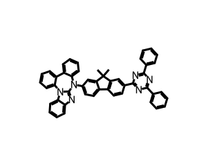 CC1(C)c2cc(-c3nc(-c4ccccc4)nc(-c4ccccc4)n3)ccc2-c2ccc(N3c4ccccc4-c4ccccc4-n4c3nc3ccccc34)cc21